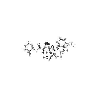 CCC(C)C(NC(=O)Cc1ccccc1F)C(=O)NC1(C(=O)O)CCc2[nH]c3c(C(F)(F)F)cccc3c2C1